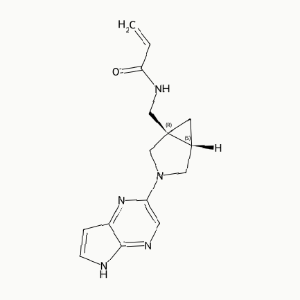 C=CC(=O)NC[C@@]12C[C@@H]1CN(c1cnc3[nH]ccc3n1)C2